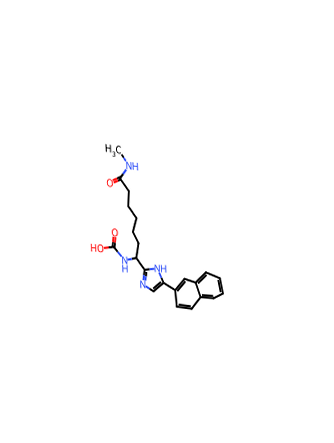 CNC(=O)CCCCCC(NC(=O)O)c1ncc(-c2ccc3ccccc3c2)[nH]1